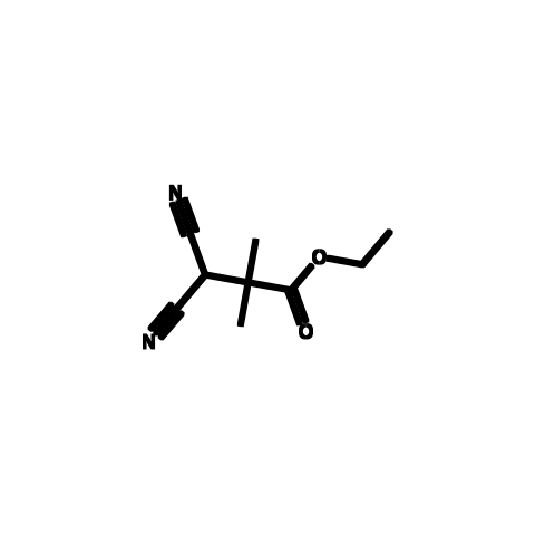 CCOC(=O)C(C)(C)C(C#N)C#N